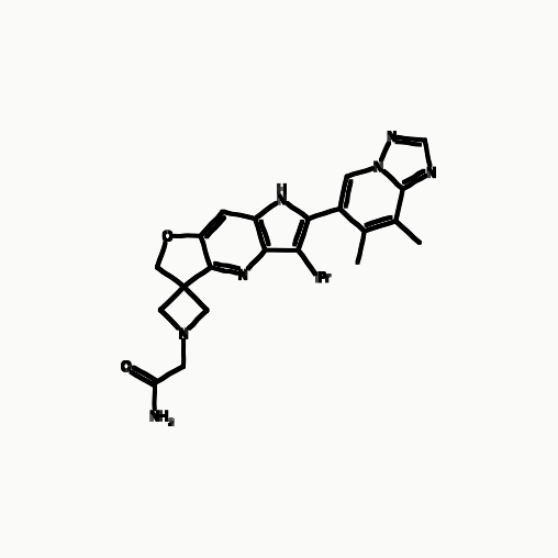 Cc1c(-c2[nH]c3cc4c(nc3c2C(C)C)C2(CO4)CN(CC(N)=O)C2)cn2ncnc2c1C